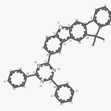 CC1(C)c2ccccc2-c2cc3oc4ccc(-c5nc(-c6ccccc6)nc(-c6ccccc6)n5)cc4c3cc21